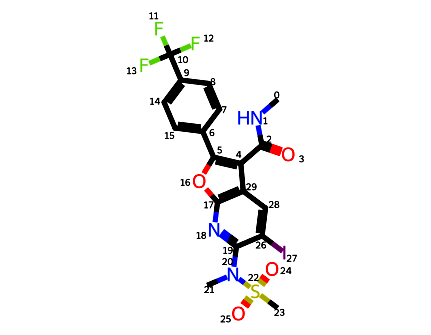 CNC(=O)c1c(-c2ccc(C(F)(F)F)cc2)oc2nc(N(C)S(C)(=O)=O)c(I)cc12